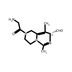 CC1=N[C@@H](C=O)C(C)=C2CN(C(=O)CN)CCN12